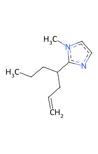 C=CCC(CCC)c1nccn1C